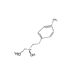 Cc1ccc(CC[C@@H](O)CO)cc1